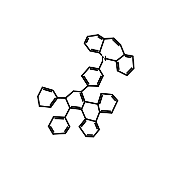 C1=CC(C2CC(c3ccc(N4c5ccccc5C=Cc5ccccc54)cc3)=c3c(c4ccccc4c4ccccc34)=C2c2ccccc2)=CCC1